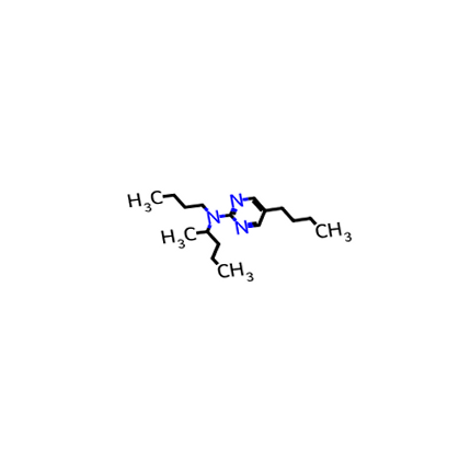 CCCCc1cnc(N(CCCC)C(C)CCC)nc1